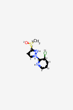 C[S+]([O-])c1c[c]n(-c2ncccc2Cl)n1